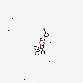 N#Cc1cccc(-c2ccc3c(c2)Oc2cc4c(cc2O3)C(c2ccccc2)(c2ccccc2)c2ccccc2-4)c1